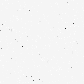 CCc1cnn2c1-c1cc(C)oc1CCC2